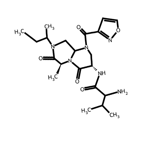 CCC(C)N1CC2N(C(=O)c3ccon3)C[C@H](NC(=O)C(N)C(C)C)C(=O)N2[C@@H](C)C1=O